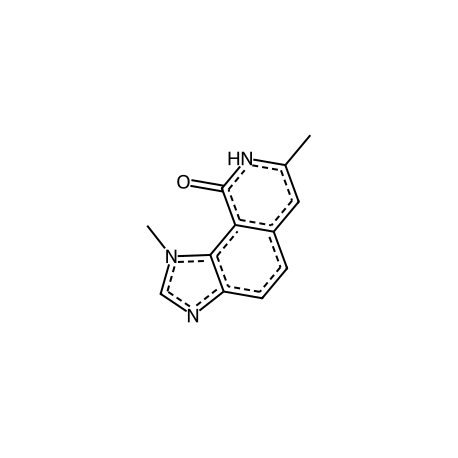 Cc1cc2ccc3ncn(C)c3c2c(=O)[nH]1